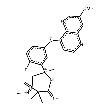 CN=S1(=O)C[C@@](C)(c2cc(Nc3ccnc4cc(OC)cnc34)ccc2F)NC(=N)C1(C)C